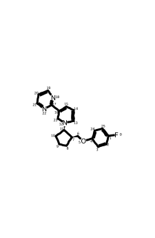 Fc1ccc(OC[C@H]2CCC[C@@H]2N2C=CC=C(c3ncccn3)C2)cc1